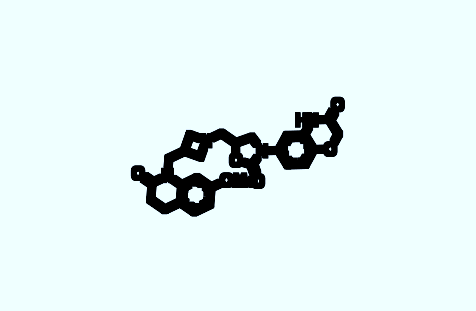 COc1ccc2c(c1)N(CC1CN(CC3CN(c4ccc5c(c4)NC(=O)CO5)C(=O)O3)C1)C(=O)CC2